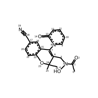 CC(=O)N(O)CC1=C(n2ccccc2=O)c2cc(C#N)ccc2OC1(C)C